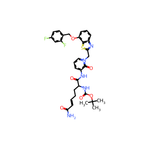 CC(C)(C)OC(=O)NC(CC/C=C/C(N)=O)C(=O)Nc1cccn(Cc2nc3cccc(OCc4ccc(F)cc4F)c3s2)c1=O